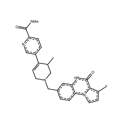 CNC(=O)c1ccc(C2=CCN(Cc3ccc4c(c3)[nH]c(=O)c3c(F)ccn34)CC2C)cn1